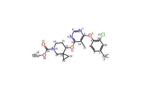 [C-]#[N+]c1ccc(Oc2ncnc(OC3CCN(C(=O)OC(C)(C)C)CC34CC4)c2C)c(Cl)c1